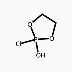 O[P]1(Cl)OCCO1